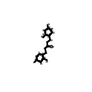 Cc1ccc(CCC(=O)CCc2ccc(C)cc2C)c(C)c1